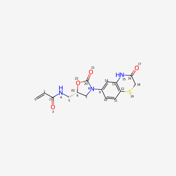 C=CC(=O)NC[C@H]1CN(c2ccc3c(c2)NC(=O)CS3)C(=O)O1